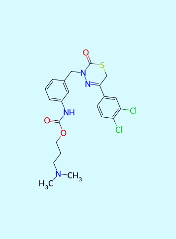 CN(C)CCCOC(=O)Nc1cccc(CN2N=C(c3ccc(Cl)c(Cl)c3)CSC2=O)c1